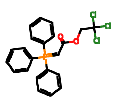 O=C(C=P(c1ccccc1)(c1ccccc1)c1ccccc1)OCC(Cl)(Cl)Cl